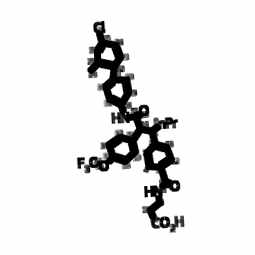 CCCC(c1ccc(C(=O)NCCC(=O)O)cc1)C(C(=O)Nc1ccc(-c2ccc(Cl)cc2C)cc1)c1ccc(OC(F)(F)F)cc1